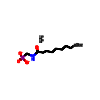 CCCCCCCCCCCCCCCCCC(=O)NCP(=O)([O-])[O-].[Li+].[Li+]